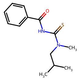 CC(C)CN(C)C(=S)NC(=O)c1ccccc1